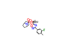 Cc1ccc(-c2noc([C@@H](C)OC3CC4CCC(C3)N4C(=O)OC(C)(C)C)n2)cc1F